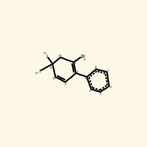 BrC1=C(c2ccccc2)C=CC(I)(I)C1